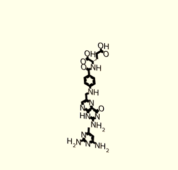 Cc1cc(N)nc(N)n1.Nc1nc(=O)c2nc(CNc3ccc(C(=O)N[C@@H](CCC(=O)O)C(=O)O)cc3)cnc2[nH]1